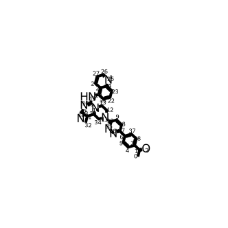 CC(=O)c1ccc(-c2ccc(N3CCN(/C(=N\C#N)Nc4cccc5ncccc45)C(C(C)C)C3)nn2)cc1